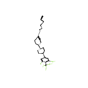 C=CCCCC[C@H]1CC[C@H]([C@H]2CC[C@H](c3cc(F)c(C(F)(F)F)c(F)c3)CC2)CC1